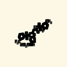 Cc1ccc(F)c(S(=O)(=O)NC(=O)CC2CN(S(=O)(=O)c3cccc(C(F)(F)F)c3)c3cc(NC(=O)O)ccc3O2)c1